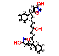 CC(CCCCC(O)CCCCC(C)(c1ccccc1)c1cc(O)no1)(c1ccccc1)c1cc(O)no1